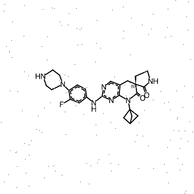 O=C1NCC[C@@]12Cc1cnc(Nc3ccc(N4CCNCC4)c(F)c3)nc1N(C13CC(C1)C3)C2=O